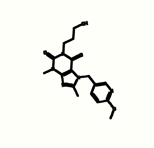 COc1ccc(Cn2c(C)nc3c2c(=O)n(CCCO)c(=O)n3C)cn1